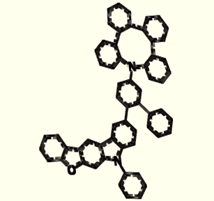 c1ccc(-c2cc(-n3c4ccccc4c4ccccc4c4ccccc4c4ccccc43)ccc2-c2ccc3c(c2)c2cc4c(cc2n3-c2ccccc2)oc2ccccc24)cc1